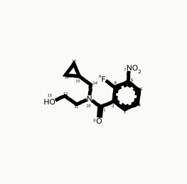 O=C(c1cccc([N+](=O)[O-])c1F)N(CCO)CC1CC1